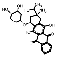 CC(O)[C@]1(N)Cc2c(O)c3c(c(O)c2[C@@H](O[C@H]2C[C@H](O)[C@H](O)CO2)C1)C(=O)c1ccccc1C3=O